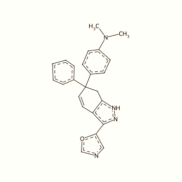 CN(C)c1ccc(C2(c3ccccc3)C=Cc3c(-c4cnco4)n[nH]c3C2)cc1